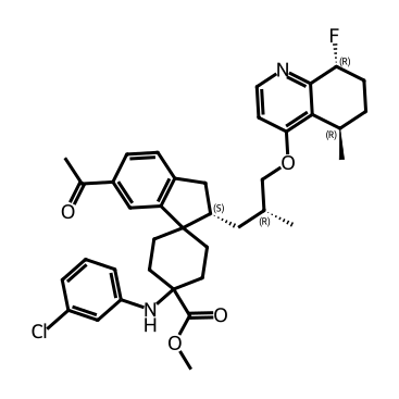 COC(=O)C1(Nc2cccc(Cl)c2)CCC2(CC1)c1cc(C(C)=O)ccc1C[C@@H]2C[C@@H](C)COc1ccnc2c1[C@H](C)CC[C@H]2F